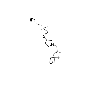 CC(=CC1(F)COC1)CN1CCC(SOC(C)(C)CCC(C)C)C1